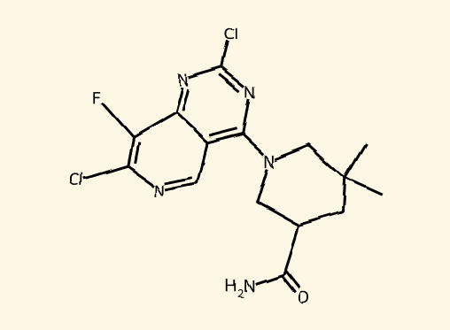 CC1(C)CC(C(N)=O)CN(c2nc(Cl)nc3c(F)c(Cl)ncc23)C1